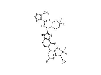 Cc1nonc1C(=O)N[C@H](c1nc2c(F)c(C(CC(F)F)C(=O)NC(C3CC3)C(F)(F)F)ccc2[nH]1)C1CCC(F)(F)CC1